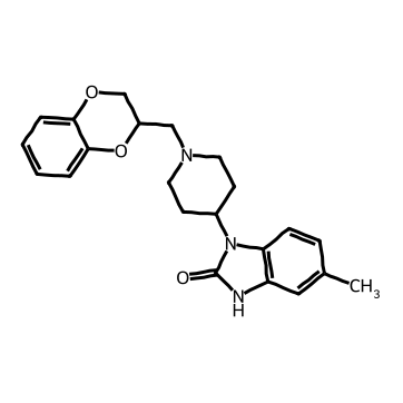 Cc1ccc2c(c1)[nH]c(=O)n2C1CCN(CC2COc3ccccc3O2)CC1